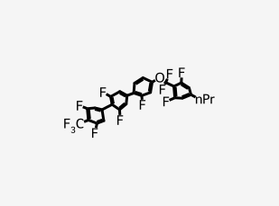 CCCc1cc(F)c(C(F)(F)Oc2ccc(-c3cc(F)c(-c4cc(F)c(C(F)(F)F)c(F)c4)c(F)c3)c(F)c2)c(F)c1